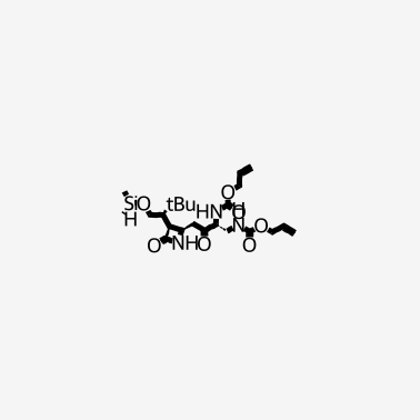 C=CCOC(=O)NC[C@@H](NC(=O)OCC=C)C(=O)C[C@H]1NC(=O)[C@H]1[C@@H](CO[SiH](C)C)C(C)(C)C